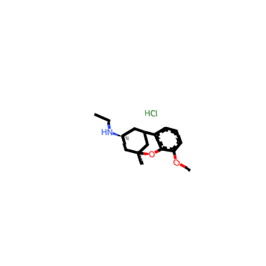 CCN[C@H]1CC2CC(C)(C1)Oc1c(OC)cccc12.Cl